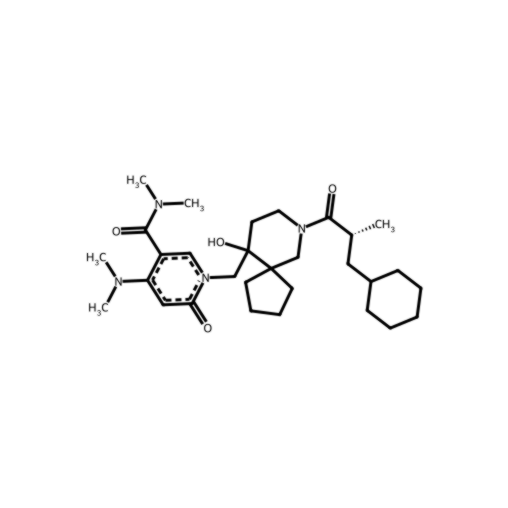 C[C@H](CC1CCCCC1)C(=O)N1CCC(O)(Cn2cc(C(=O)N(C)C)c(N(C)C)cc2=O)C2(CCCC2)C1